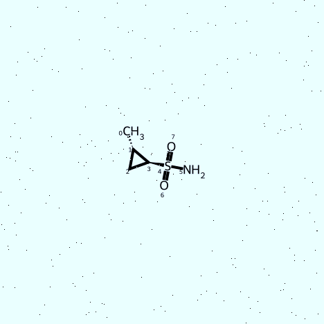 C[C@H]1C[C@@H]1S(N)(=O)=O